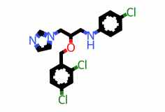 Clc1ccc(NCC(Cn2ccnc2)OCc2ccc(Cl)cc2Cl)cc1